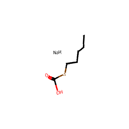 CCCCCSC(=O)O.[NaH]